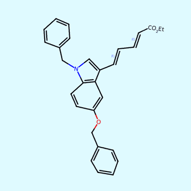 CCOC(=O)/C=C/C=C/c1cn(Cc2ccccc2)c2ccc(OCc3ccccc3)cc12